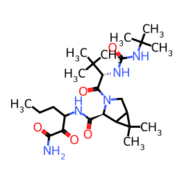 CCCC(NC(=O)[C@@H]1C2C(CN1C(=O)[C@@H](NC(=O)NC(C)(C)C)C(C)(C)C)C2(C)C)C(=O)C(N)=O